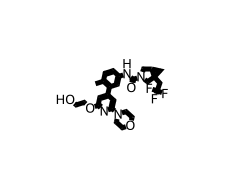 Cc1ccc(NC(=O)N2CC3CC3(CC(F)(F)F)C2)cc1-c1cc(OCCO)nc(N2CCOCC2)c1